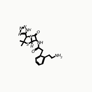 CC1(C)S[C@H]2C(NC(=O)Cc3ccccc3CCN)C(=O)N2C1c1nnn[nH]1